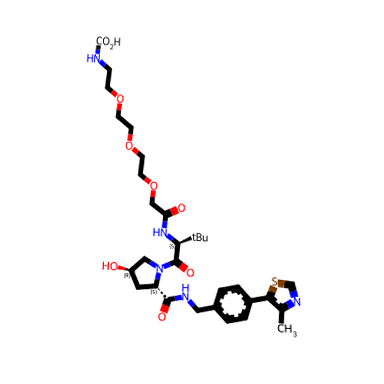 Cc1ncsc1-c1ccc(CNC(=O)[C@@H]2C[C@@H](O)CN2C(=O)[C@@H](NC(=O)COCCOCCOCCNC(=O)O)C(C)(C)C)cc1